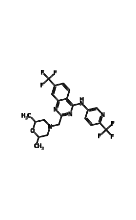 CC1CN(Cc2nc(Nc3ccc(C(F)(F)F)nc3)c3ccc(C(F)(F)F)cc3n2)CC(C)O1